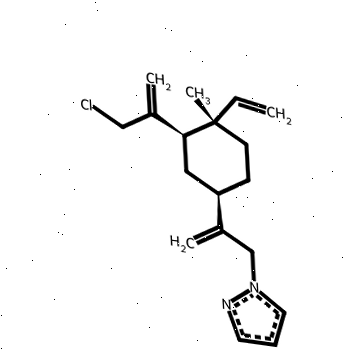 C=C[C@]1(C)CC[C@@H](C(=C)Cn2cccn2)C[C@H]1C(=C)CCl